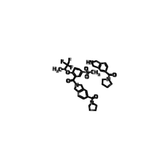 C[C@H](Oc1ccc(S(C)(=O)=O)cc1C(=O)N1Cc2ccc(C(=O)N3CCCC3)cc2C1)C(F)(F)F.O=C(c1ccc2c(c1)CNC2)N1CCCC1